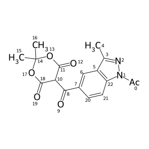 CC(=O)n1nc(C)c2cc(C(=O)C3C(=O)OC(C)(C)OC3=O)ccc21